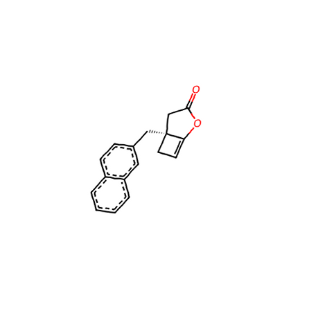 O=C1C[C@]2(Cc3ccc4ccccc4c3)CC=C2O1